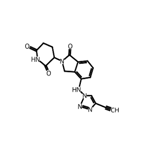 C#Cc1cn(Nc2cccc3c2CN(C2CCC(=O)NC2=O)C3=O)nn1